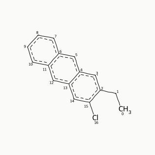 CCc1[c]c2cc3ccccc3cc2cc1Cl